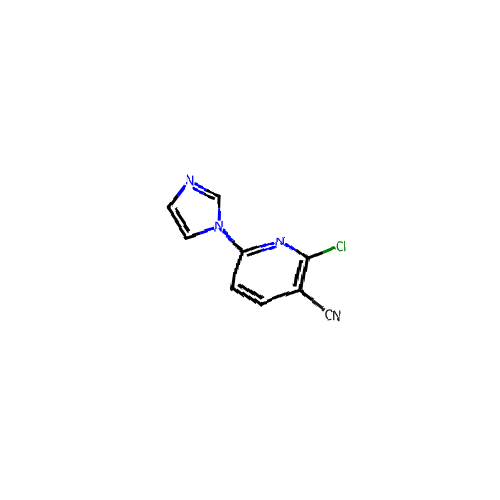 N#Cc1ccc(-n2ccnc2)nc1Cl